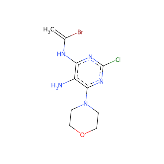 C=C(Br)Nc1nc(Cl)nc(N2CCOCC2)c1N